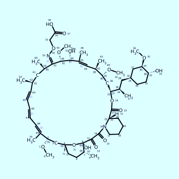 CO[C@H]1C[C@@H]2CC[C@@H](C)[C@@](O)(O2)C(=O)C(=O)N2CCCC[C@H]2C(=O)O[C@H]([C@H](C)C[C@@H]2CC[C@@H](O)[C@H](OC)C2)C[C@@H](OC)[C@H](C)/C=C(\C)[C@@H](O)[C@@H](OC)/C(=N\OCC(=O)O)[C@H](C)C[C@H](C)/C=C/C=C/C=C/1C